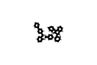 c1ccc(-c2ccc(-c3nc(-c4cccc(-n5c6ccccc6c6c7ccccc7c7sc8ccccc8c7c65)c4)nc4ccccc34)cc2)cc1